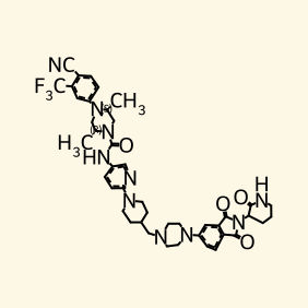 C[C@@H]1CN(c2ccc(C#N)c(C(F)(F)F)c2)[C@@H](C)CN1C(=O)Nc1ccc(N2CCC(CN3CCN(c4ccc5c(c4)C(=O)N(C4CCCNC4=O)C5=O)CC3)CC2)nc1